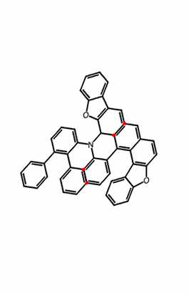 C1=Cc2c(oc3ccccc23)C(N(c2ccccc2-c2cccc3ccc4oc5ccccc5c4c23)c2cccc(-c3ccccc3)c2-c2ccccc2)C1